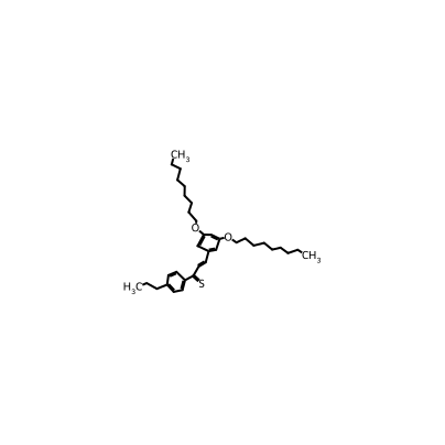 CCCCCCCCCOc1cc(C=CC(=S)c2ccc(CCC)cc2)cc(OCCCCCCCCC)c1